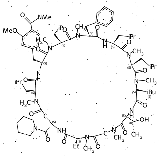 CC[C@H](C)[C@H]1C(=O)N[C@@H]([C@@H](C)O)C(=O)N(C)CC(=O)N(C)[C@@H](CC)C(=O)N[C@H](C(=O)N2CCCCC2)CC(=O)N(C)[C@@H](CC(C)C)C(=O)N[C@@H](Cc2ccc(C(=O)NC)c(OC)c2)C(=O)N(C)[C@@H](CC(C)C)C(=O)N(C)[C@@H](Cc2ccccc2)C(=O)N[C@@H](CC(C)C)C(=O)N(C)[C@@H](CC(C)C)C(=O)N1C